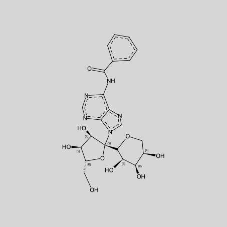 O=C(Nc1ncnc2c1ncn2[C@]1(C2OC[C@@H](O)[C@@H](O)[C@H]2O)O[C@H](CO)[C@@H](O)[C@H]1O)c1ccccc1